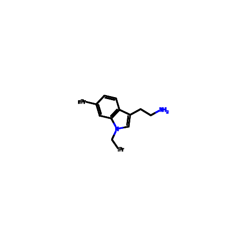 CCCc1ccc2c(CCN)cn(CC(C)C)c2c1